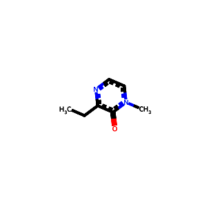 CCc1nccn(C)c1=O